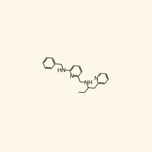 CCC(Cc1ccccn1)NCc1cccc(NCc2ccccc2)n1